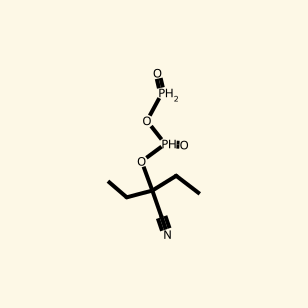 CCC(C#N)(CC)O[PH](=O)O[PH2]=O